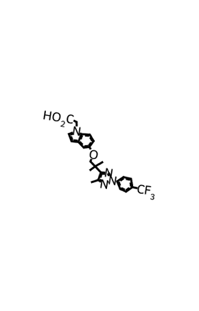 Cc1nn(-c2ccc(C(F)(F)F)cc2)nc1C(C)(C)COc1ccc2c(ccn2CC(=O)O)c1